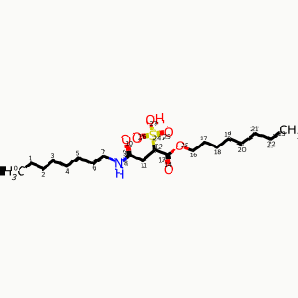 CCCCCCCCNC(=O)CC(C(=O)OCCCCCCCC)S(=O)(=O)O